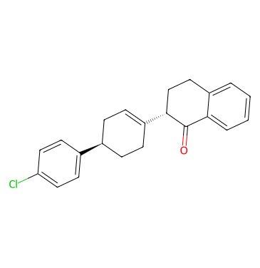 O=C1c2ccccc2CC[C@H]1C1=CC[C@H](c2ccc(Cl)cc2)CC1